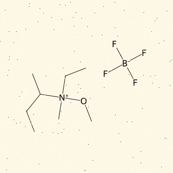 CCC(C)[N+](C)(CC)OC.F[B-](F)(F)F